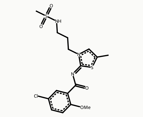 COc1ccc(Cl)cc1C(=O)/N=c1\sc(C)cn1CCCNS(C)(=O)=O